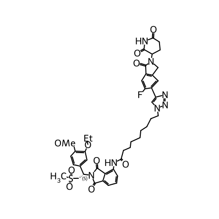 CCOc1cc([C@@H](CS(C)(=O)=O)N2C(=O)c3cccc(NC(=O)CCCCCCCCn4cc(-c5cc6c(cc5F)C(=O)N(C5CCC(=O)NC5=O)C6)nn4)c3C2=O)ccc1OC